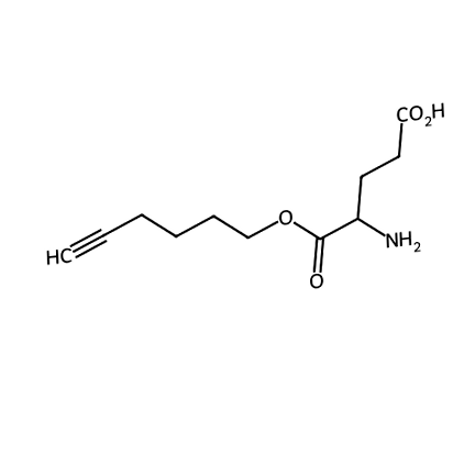 C#CCCCCOC(=O)C(N)CCC(=O)O